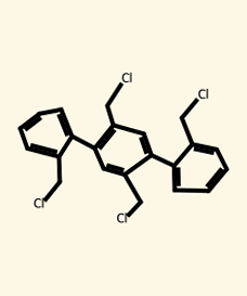 ClCc1ccccc1-c1cc(CCl)c(-c2ccccc2CCl)cc1CCl